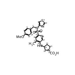 COc1ccc(CN(c2cscn2)S(=O)(=O)c2cc(C)c(NC3CCN(C(=O)O)C3)cn2)cc1